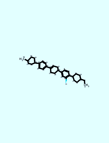 CCC1CCC(c2ccc(C3CC=C(c4ccc(C5CCC(C)CC5)cc4)CC3)cc2F)CC1